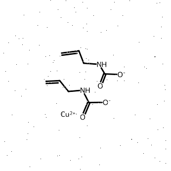 C=CCNC(=O)[O-].C=CCNC(=O)[O-].[Cu+2]